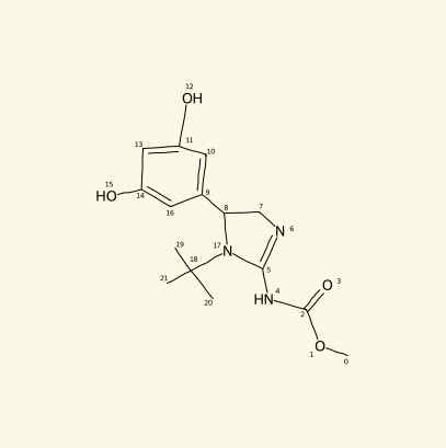 COC(=O)NC1=NCC(c2cc(O)cc(O)c2)N1C(C)(C)C